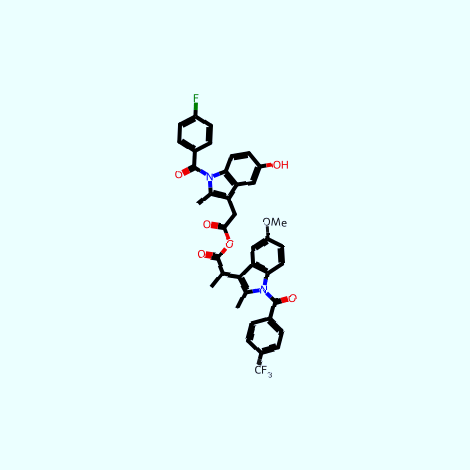 COc1ccc2c(c1)c(C(C)C(=O)OC(=O)Cc1c(C)n(C(=O)c3ccc(F)cc3)c3ccc(O)cc13)c(C)n2C(=O)c1ccc(C(F)(F)F)cc1